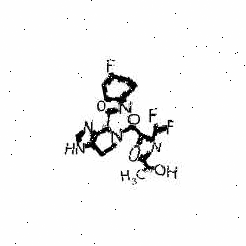 C[C@H](O)c1nc(C(F)F)c(C(=O)N2CCc3[nH]cnc3[C@H]2c2nc3ccc(F)cc3o2)o1